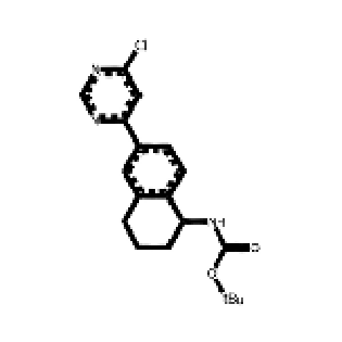 CC(C)(C)OC(=O)NC1CCCc2cc(-c3cc(Cl)ncn3)ccc21